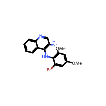 COc1cc(Br)c(Nc2c(N)cnc3ccccc23)c(OC)c1